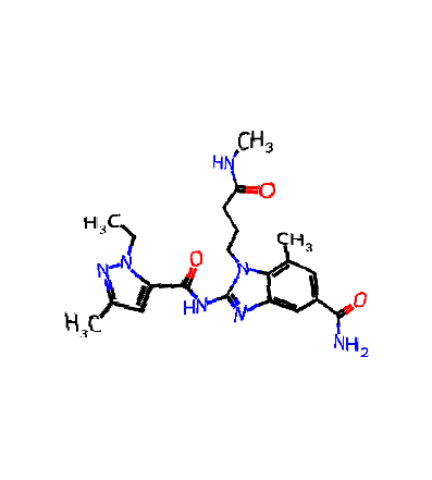 CCn1nc(C)cc1C(=O)Nc1nc2cc(C(N)=O)cc(C)c2n1CCCC(=O)NC